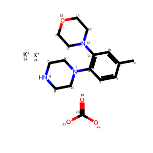 Cc1ccc(N2CCNCC2)c(N2CCOCC2)c1.O=C([O-])[O-].[K+].[K+]